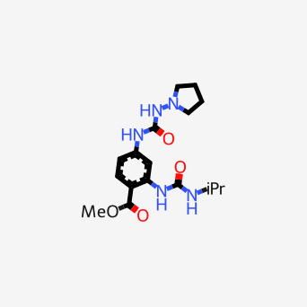 COC(=O)c1ccc(NC(=O)NN2CCCC2)cc1NC(=O)NC(C)C